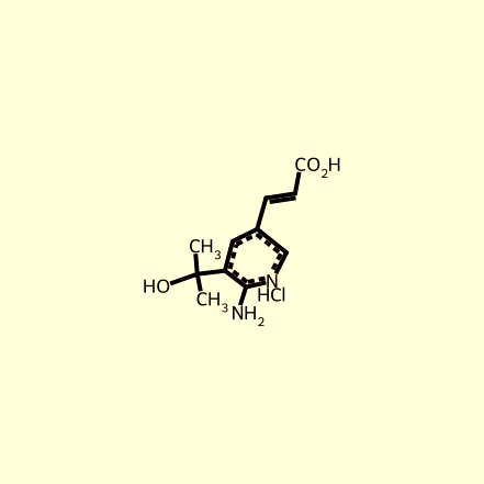 CC(C)(O)c1cc(C=CC(=O)O)cnc1N.Cl